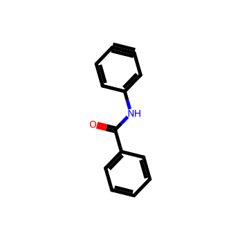 O=C(Nc1cc#ccc1)c1ccccc1